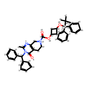 Cc1nc2c(c(=O)n1C(c1ccccc1)c1ccccc1)CCN(C(=O)OC1CC(O[Si](c3ccccc3)(c3ccccc3)C(C)(C)C)C1)C2